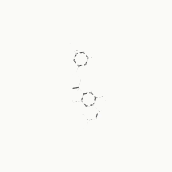 CCN(C)/C=N\c1cc(C)c(C(=O)COc2cccc(F)c2)cc1Cl